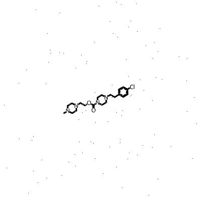 CN1CCN(CCOC(=O)N2CCN(CCc3ccc(Cl)cc3)CC2)CC1